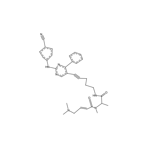 CC(C(=O)NCCCC#Cc1cnc(Nc2ccc(C#N)cc2)nc1-c1ccccc1)N(C)C(=O)C=CCN(C)C